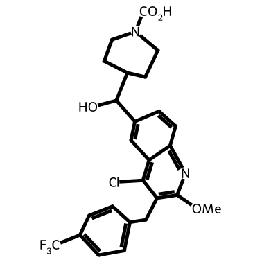 COc1nc2ccc(C(O)C3CCN(C(=O)O)CC3)cc2c(Cl)c1Cc1ccc(C(F)(F)F)cc1